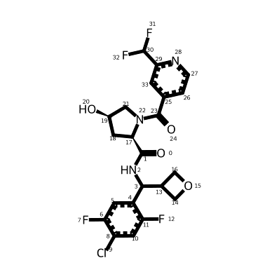 O=C(NC(c1cc(F)c(Cl)cc1F)C1COC1)[C@H]1C[C@@H](O)CN1C(=O)c1ccnc(C(F)F)c1